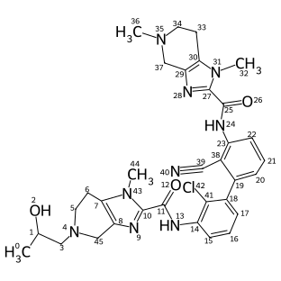 CC(O)CN1CCc2c(nc(C(=O)Nc3cccc(-c4cccc(NC(=O)c5nc6c(n5C)CCN(C)C6)c4C#N)c3Cl)n2C)C1